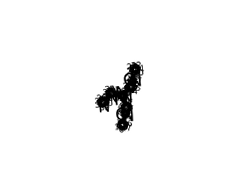 c1ccc(-c2nc3ccc(-c4nc(-c5ccc6nc(-c7ccccc7)oc6c5)nc(-c5cccc(-c6cccnc6)n5)n4)cc3o2)cc1